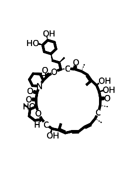 C/C1=C\[C@@H](C)C(=O)C[C@@H]([C@H](C)C[C@@H]2CC[C@@H](O)[C@H](O)C2)OC(=O)[C@@H]2CCCCN2C(=O)C(=O)[C@]2(O)O[C@@H](CC[C@H]2C)C[C@H](O)/C(C)=C/C=C/C=C/[C@@H](C)C[C@@H](C)C(=O)[C@H](O)[C@@H]1O